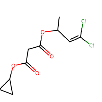 CC(C=C(Cl)Cl)OC(=O)CC(=O)OC1CC1